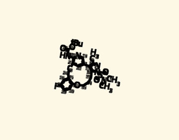 Cc1nn(S(=O)(=O)N(C)C)c2c1-c1cnc(NC(=O)OC(C)(C)C)c(c1)CCc1cc(F)ccc1OCCC2